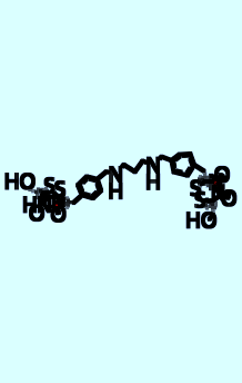 CN1C(=O)[C@@]2(CO)NC(=O)[C@]1(Cc1ccc(CNCCCNCc3ccc(C[C@@]45SS[C@@](CO)(C(=O)N4C)N(C)C5=O)cc3)cc1)SS2